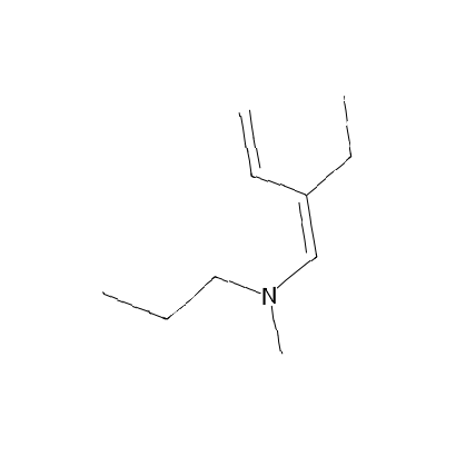 C=C/C(=C\N(C)CCC)CC